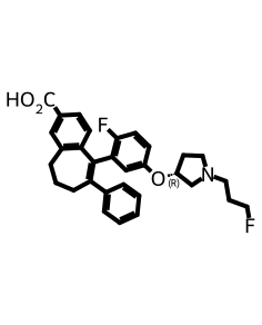 O=C(O)c1ccc2c(c1)CCCC(c1ccccc1)=C2c1cc(O[C@@H]2CCN(CCCF)C2)ccc1F